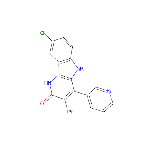 CC(C)c1c(-c2cccnc2)c2[nH]c3ccc(Cl)cc3c2[nH]c1=O